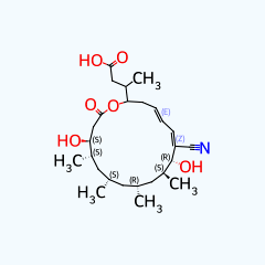 CC(CC(=O)O)C1C/C=C/C=C(/C#N)[C@H](O)[C@@H](C)C[C@H](C)C[C@H](C)C[C@H](C)[C@@H](O)CC(=O)O1